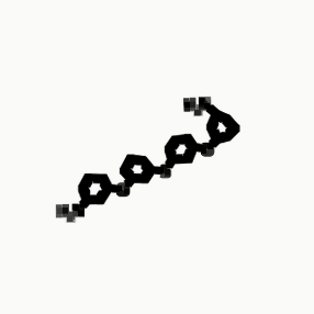 Nc1cccc(Oc2cccc(Sc3cccc(Oc4cccc(N)c4)c3)c2)c1